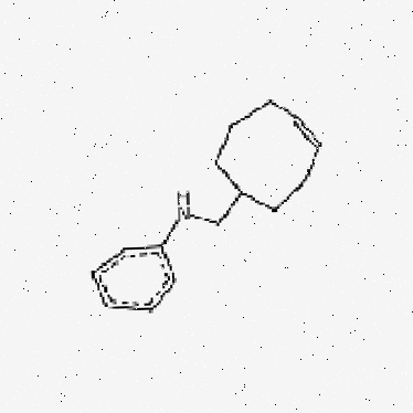 C1=C\CCC(CNc2ccccc2)CCC/1